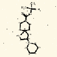 CC(C)(C)OC(=O)N1CCC2(CC1)CC(N1CCCCC1)CO2